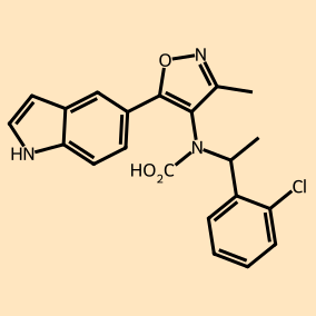 Cc1noc(-c2ccc3[nH]ccc3c2)c1N(C(=O)O)C(C)c1ccccc1Cl